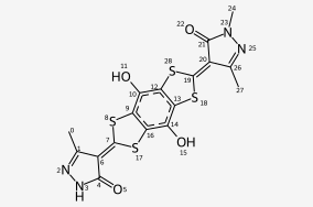 CC1=NNC(=O)C1=C1Sc2c(O)c3c(c(O)c2S1)SC(=C1C(=O)N(C)N=C1C)S3